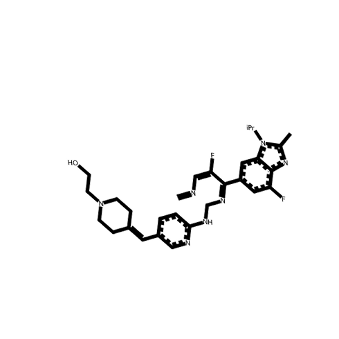 C=N/C=C(F)\C(=N/CNc1ccc(C=C2CCN(CCO)CC2)cn1)c1cc(F)c2nc(C)n(C(C)C)c2c1